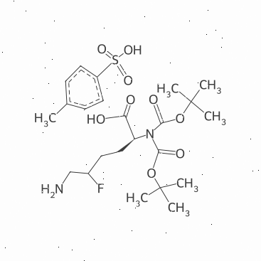 CC(C)(C)OC(=O)N(C(=O)OC(C)(C)C)[C@@H](CCC(F)CN)C(=O)O.Cc1ccc(S(=O)(=O)O)cc1